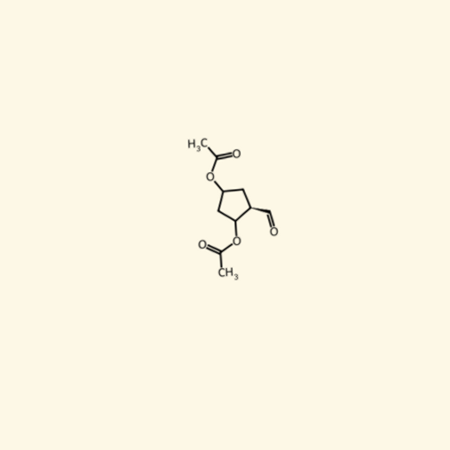 CC(=O)OC1CC(OC(C)=O)[C@H](C=O)C1